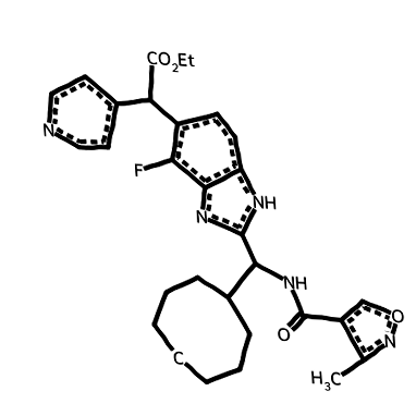 CCOC(=O)C(c1ccncc1)c1ccc2[nH]c(C(NC(=O)c3conc3C)C3CCCCCCC3)nc2c1F